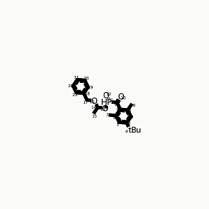 Cc1cc(C(C)(C)C)cc(C)c1C(=O)[PH](=O)OC(C)OCc1ccccc1